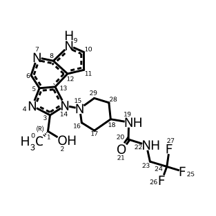 C[C@@H](O)c1nc2cnc3[nH]ccc3c2n1N1CCC(NC(=O)NCC(F)(F)F)CC1